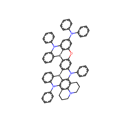 c1ccc(N(c2ccccc2)c2cc3c4c(c2)N(c2ccccc2)c2ccccc2B4c2cc4c(cc2O3)N(c2ccccc2)c2c3c5c(c6c2B4c2ccccc2N6c2ccccc2)CCCN5CCC3)cc1